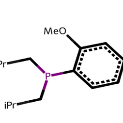 COc1ccccc1P(CC(C)C)CC(C)C